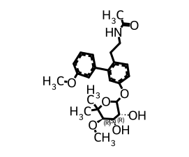 COc1cccc(-c2cc(OC3OC(C)(C)[C@H](OC)[C@@H](O)[C@H]3O)ccc2CCNC(C)=O)c1